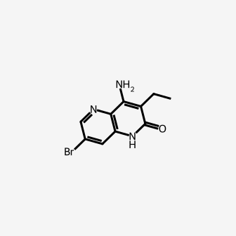 CCc1c(N)c2ncc(Br)cc2[nH]c1=O